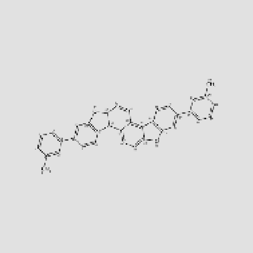 Cc1cccc(-c2ccc3c(c2)OC2C=Cc4c(ccc5oc6cc(-c7cccc(C)c7)ccc6c45)C32)c1